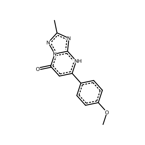 COc1ccc(-c2cc(=O)n3nc(C)nc3[nH]2)cc1